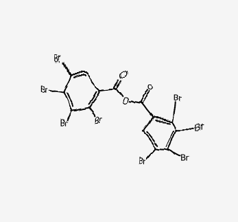 O=C(OC(=O)c1cc(Br)c(Br)c(Br)c1Br)c1cc(Br)c(Br)c(Br)c1Br